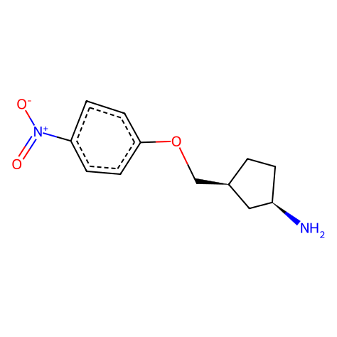 N[C@@H]1CC[C@H](COc2ccc([N+](=O)[O-])cc2)C1